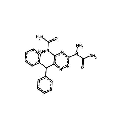 NC(=O)N(N)c1nnc(C(c2ccccc2)c2ccccc2)c(N(N)C(N)=O)n1